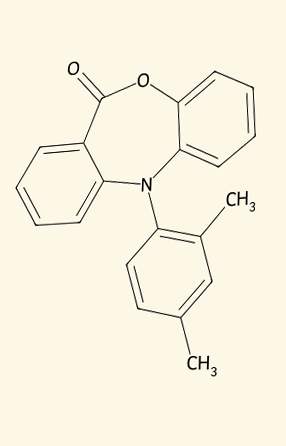 Cc1ccc(N2c3ccccc3OC(=O)c3ccccc32)c(C)c1